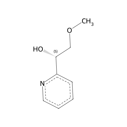 COC[C@@H](O)c1ccccn1